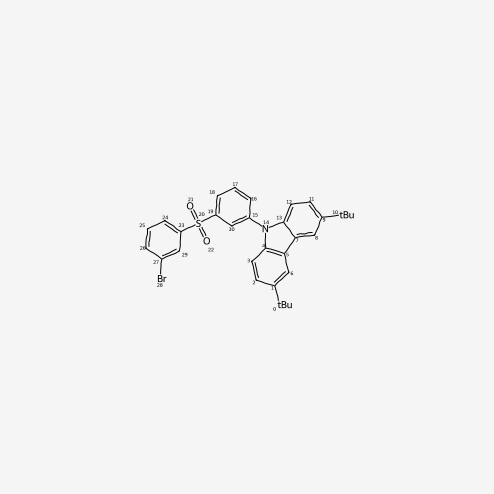 CC(C)(C)c1ccc2c(c1)c1cc(C(C)(C)C)ccc1n2-c1cccc(S(=O)(=O)c2cccc(Br)c2)c1